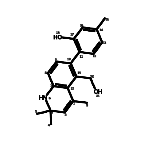 CC1=CC(C)(C)Nc2ccc(-c3ccc(C)cc3O)c(CO)c21